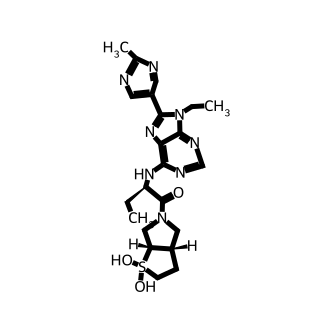 CC[C@@H](Nc1ncnc2c1nc(-c1cnc(C)nc1)n2CC)C(=O)N1C[C@@H]2CCS(O)(O)[C@@H]2C1